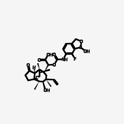 C=C[C@]1(C)C[C@@H](C(OC(=O)Nc2ccc3c(c2F)B(O)OC3)C(=O)O)[C@@]2(C)[C@H](C)CC[C@]3(CCC(=O)[C@H]32)[C@@H](C)[C@@H]1O